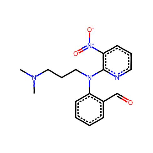 CN(C)CCCN(c1ccccc1C=O)c1ncccc1[N+](=O)[O-]